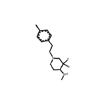 CNC1CCN(CCc2ccc(C)cc2)CC1(F)F